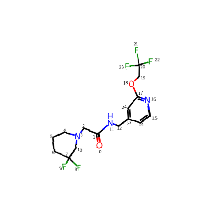 O=C(CN1CCCC(F)(F)C1)NCc1ccnc(OCC(F)(F)F)c1